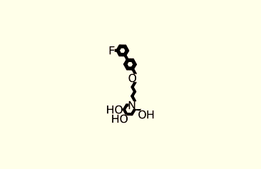 OC[C@H]1CC(O)[C@@H](O)CN1CCCCCOCc1ccc(-c2cccc(F)c2)cc1